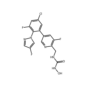 O=C(NO)NCc1ncc(-c2cc(Cl)cc(F)c2-n2cc(F)cn2)cc1F